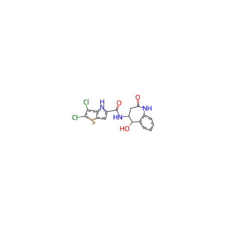 O=C1CC(NC(=O)c2cc3sc(Cl)c(Cl)c3[nH]2)C(O)c2ccccc2N1